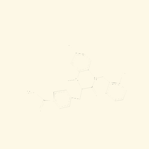 COC(=O)c1ccc(CC2C(=O)N(Cc3ccccc3C(F)(F)F)c3ccc(F)cc3N2C)cc1